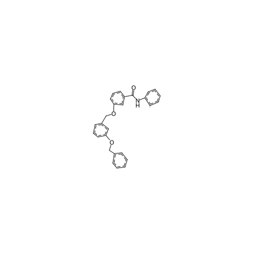 O=C(Nc1[c]cccc1)c1cccc(OCc2cccc(OCc3ccccc3)c2)c1